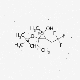 CCC1(O[Si](C)(C)C)C(CC(F)(F)F)[Si@@]1(C)O